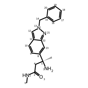 CNC(=O)C[C@](C)(N)c1ccc2cn(Cc3ccccc3)nc2c1